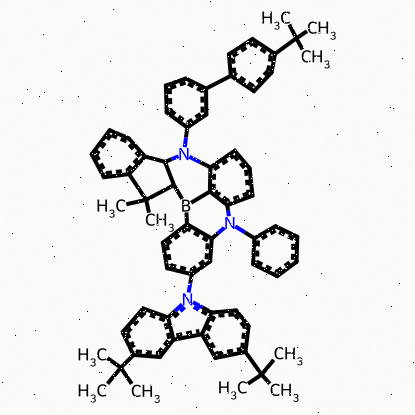 CC(C)(C)c1ccc(-c2cccc(N3c4cccc5c4B(c4ccc(-n6c7ccc(C(C)(C)C)cc7c7cc(C(C)(C)C)ccc76)cc4N5c4ccccc4)C4C3c3ccccc3C4(C)C)c2)cc1